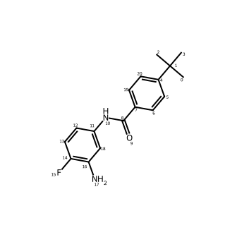 CC(C)(C)c1ccc(C(=O)Nc2ccc(F)c(N)c2)cc1